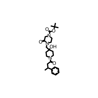 CC(CC(=O)N1CCC(O)(CN2CCN(C(=O)OC(C)(C)C)CC2=O)CC1)c1ccccc1